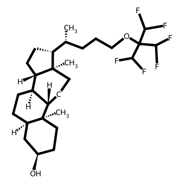 C[C@H](CCCOC(C(F)F)(C(F)F)C(F)F)[C@H]1CC[C@H]2[C@@H]3CC[C@@H]4C[C@H](O)CC[C@]4(C)[C@H]3CC[C@]12C